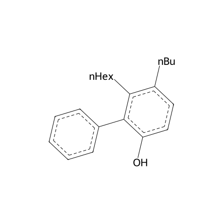 CCCCCCc1c(CCCC)ccc(O)c1-c1ccccc1